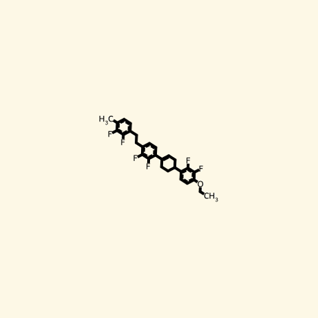 CCOc1ccc(C2CC=C(c3ccc(CCc4ccc(C)c(F)c4F)c(F)c3F)CC2)c(F)c1F